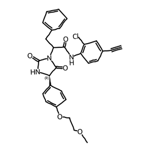 C#Cc1ccc(NC(=O)C(Cc2ccccc2)N2C(=O)N[C@H](c3ccc(OCCOC)cc3)C2=O)c(Cl)c1